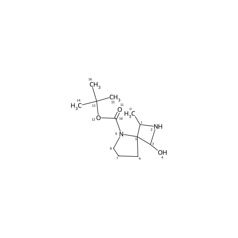 CC1NC(O)C12CCCN2C(=O)OC(C)(C)C